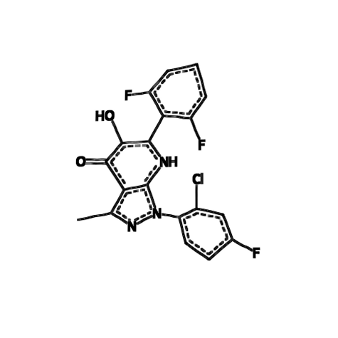 Cc1nn(-c2ccc(F)cc2Cl)c2[nH]c(-c3c(F)cccc3F)c(O)c(=O)c12